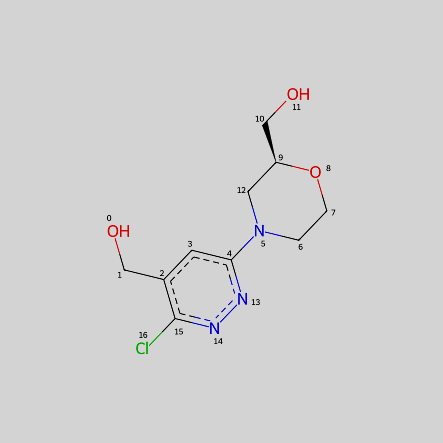 OCc1cc(N2CCO[C@H](CO)C2)nnc1Cl